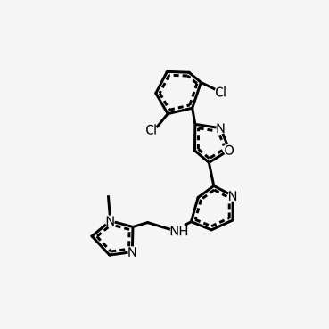 Cn1ccnc1CNc1ccnc(-c2cc(-c3c(Cl)cccc3Cl)no2)c1